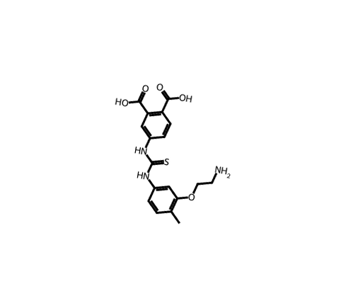 Cc1ccc(NC(=S)Nc2ccc(C(=O)O)c(C(=O)O)c2)cc1OCCN